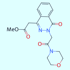 COC(=O)Cc1nn(CC(=O)N2CCOCC2)c(=O)c2ccccc12